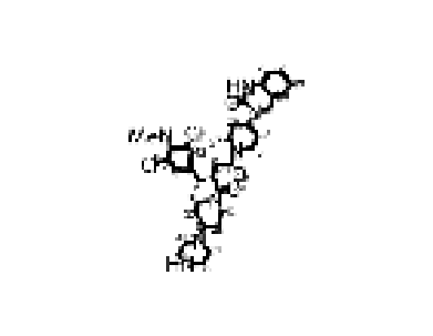 CNc1c(Cl)cc(C[C@@H](CC(=O)N2CCC(N3Cc4ccccc4NC3=O)CC2)C(=O)N2CCC(N3CCNCC3)CC2)cc1C(F)(F)F